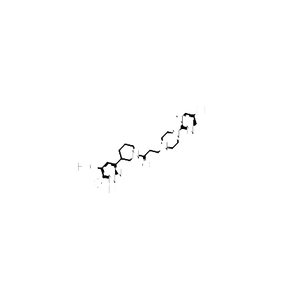 O=C(CCN1CCN(c2ncc(C(F)(F)F)cn2)CC1)N1CCCC(c2cc(C(F)(F)F)c(=O)[nH]n2)C1